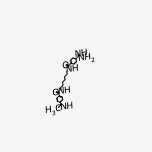 CC(=N)c1ccc(C(=O)NCCCCCCCNC(=O)c2ccc(C(=N)N)cc2)cc1